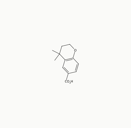 CC1(C)CCOc2ccc(C(=O)O)cc21